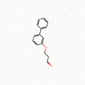 O=CCCOc1cccc(-c2ccccc2)c1